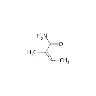 C/C=C(/C)C(N)=O